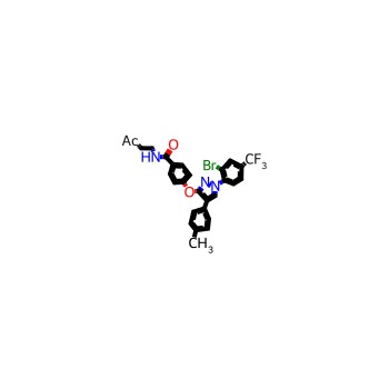 CC(=O)CCNC(=O)c1ccc(Oc2nn(-c3ccc(C(F)(F)F)cc3Br)cc2-c2ccc(C)cc2)cc1